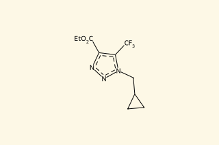 CCOC(=O)c1nnn(CC2CC2)c1C(F)(F)F